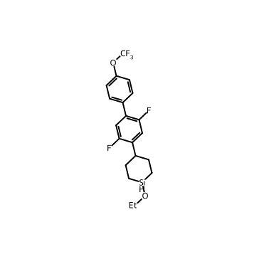 CCO[SiH]1CCC(c2cc(F)c(-c3ccc(OC(F)(F)F)cc3)cc2F)CC1